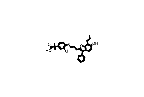 CCCc1c(O)ccc2c(-c3ccccc3)c(CCCSc3ccc(C(C)(C)C(=O)O)cc3Cl)oc12